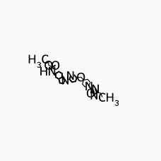 CCOC(=O)Nc1ccc2c(ccn2-c2ccc(OC3CCN(c4nc(CC)no4)CC3)cn2)c1